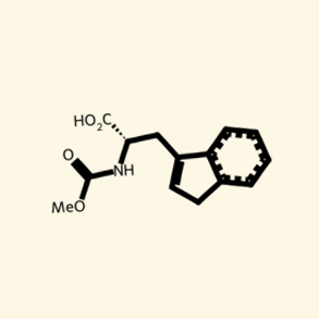 COC(=O)N[C@@H](CC1=CCc2ccccc21)C(=O)O